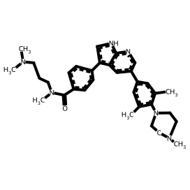 Cc1cc(-c2cnc3[nH]cc(-c4ccc(C(=O)N(C)CCCN(C)C)cc4)c3c2)cc(C)c1N1CCN(C)CC1